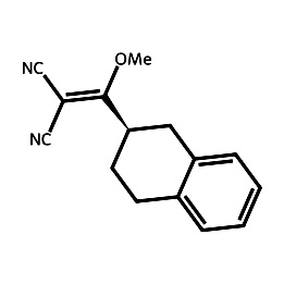 COC(=C(C#N)C#N)[C@@H]1CCc2ccccc2C1